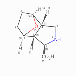 O=C(O)[C@@H]1NC[C@@H]2[C@H]1[C@H]1CC[C@@H]2O1